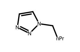 [CH2]CCCn1ccnn1